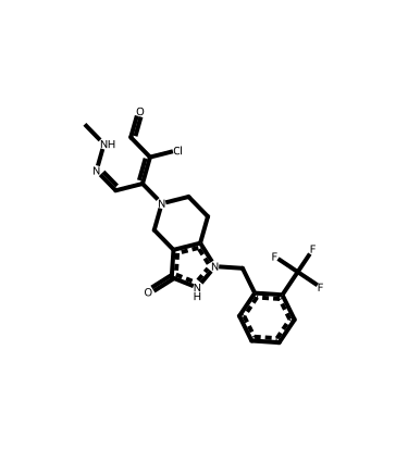 CN/N=C\C(=C(\Cl)C=O)N1CCc2c(c(=O)[nH]n2Cc2ccccc2C(F)(F)F)C1